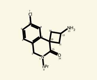 CCCN1Cc2ccc(Cl)cc2C2(CC(N)C2)C1=O